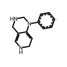 [c]1ccc(N2CNCC3=CNCC=C32)cc1